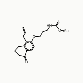 C=CCc1c(OCCCNC(=O)OC(C)(C)C)ccc2c1CCCC2=O